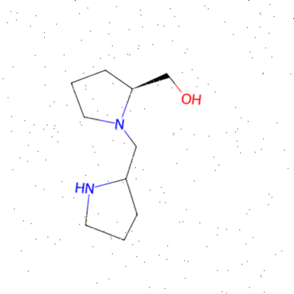 OC[C@@H]1CCCN1CC1CCCN1